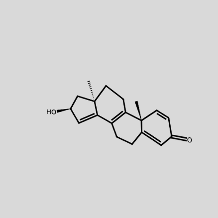 C[C@]12CCC3=C(CCC4=CC(=O)C=C[C@]43C)C1=C[C@@H](O)C2